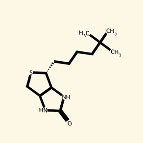 CC(C)(C)CCCC[C@H]1SCC2NC(=O)NC21